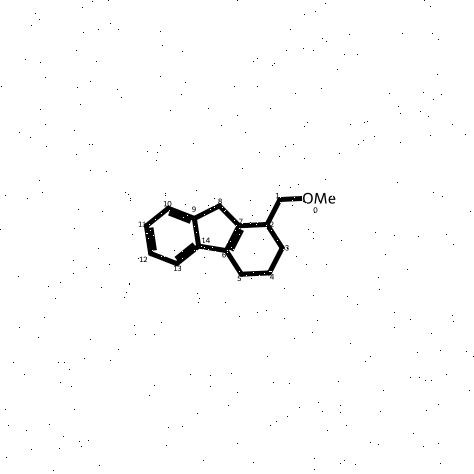 COCC1CCCC2=C1Cc1ccccc12